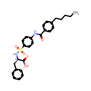 CCCCCc1ccc(C(=O)Nc2ccc(S(=O)(=O)N[C@H](Cc3ccccc3)C(=O)O)cc2)cc1